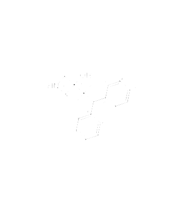 CC(C)(C(c1ccccc1)c1ccccc1)C1(O)CNC1